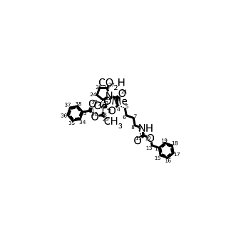 COP(=O)(O[C@@H](CCCCNC(=O)OCc1ccccc1)C(=O)N1CCC[C@H]1C(=O)O)C(C)OC(=O)c1ccccc1